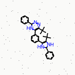 CC(C)(C)C1=C(c2cccc(C3=C(C(C)(C)C)NC(c4ccccc4)N3)c2)NC(c2ccccc2)N=N1